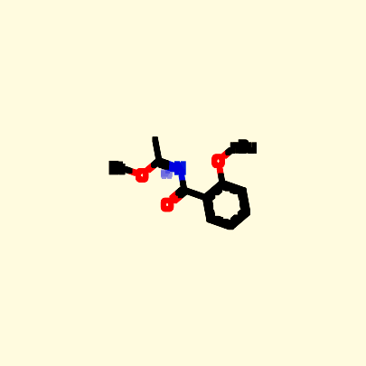 CCCCOc1ccccc1C(=O)/N=C(/C)OCC